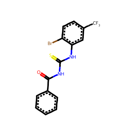 O=C(NC(=S)Nc1cc(C(F)(F)F)ccc1Br)c1ccccc1